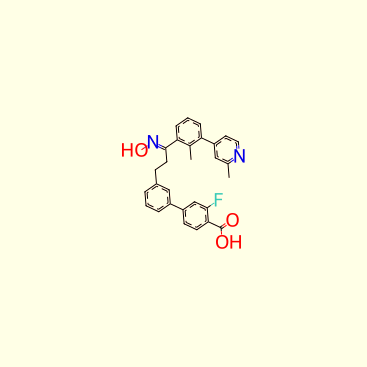 Cc1cc(-c2cccc(/C(CCc3cccc(-c4ccc(C(=O)O)c(F)c4)c3)=N/O)c2C)ccn1